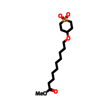 COC(=O)CCCCCCCCCOC1CCS(=O)(=O)CC1